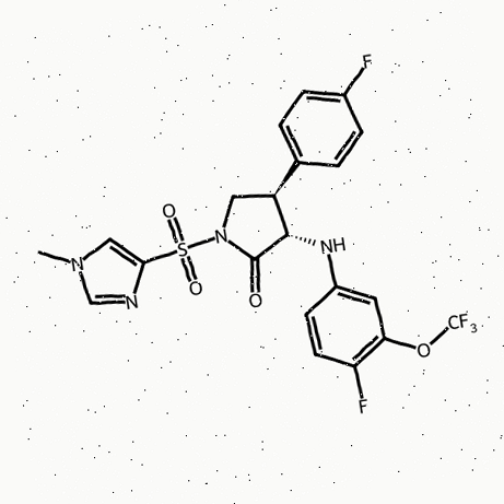 Cn1cnc(S(=O)(=O)N2C[C@@H](c3ccc(F)cc3)[C@H](Nc3ccc(F)c(OC(F)(F)F)c3)C2=O)c1